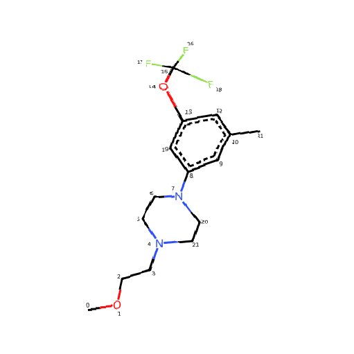 COCCN1CCN(c2cc(C)cc(OC(F)(F)F)c2)CC1